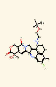 CC[C@@]1(O)C(=O)OCc2c1cc1n(c2=O)Cc2c-1nc1cc(F)c(C)c3c1c2[C@@H](NCCO[Si](C)(C)C(C)(C)C)CC3